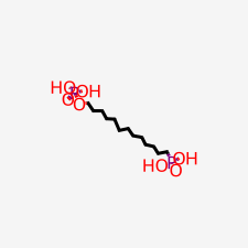 O=P(O)(O)CCCCCCCCCCCCCOP(=O)(O)O